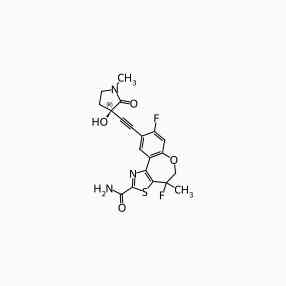 CN1CC[C@@](O)(C#Cc2cc3c(cc2F)OCC(C)(F)c2sc(C(N)=O)nc2-3)C1=O